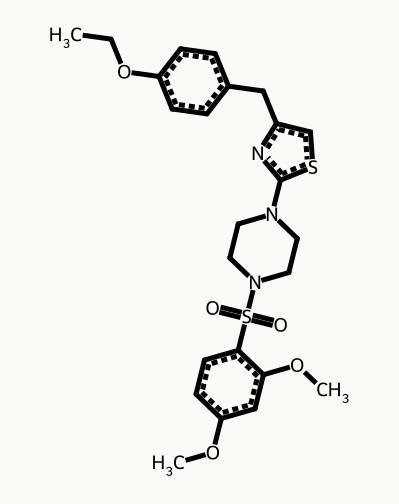 CCOc1ccc(Cc2csc(N3CCN(S(=O)(=O)c4ccc(OC)cc4OC)CC3)n2)cc1